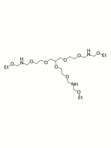 CCOCNCOCCOCC(COCCOCNCOCC)OCCOCNCOCC